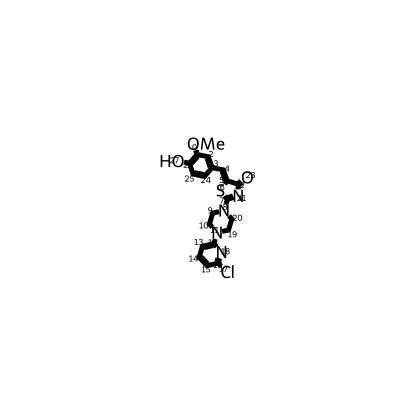 COc1cc(/C=C2\SC(N3CCN(c4cccc(Cl)n4)CC3)=NC2=O)ccc1O